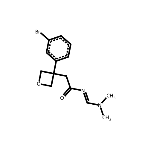 CN(C)C=NC(=O)CC1(c2cccc(Br)c2)COC1